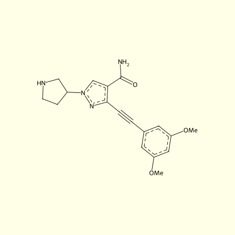 COc1cc(C#Cc2nn(C3CCNC3)cc2C(N)=O)cc(OC)c1